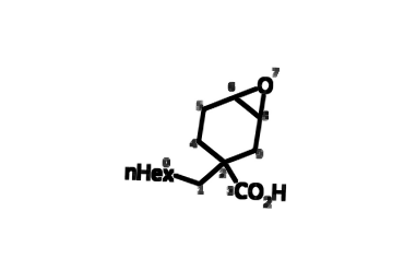 CCCCCCCC1(C(=O)O)CCC2OC2C1